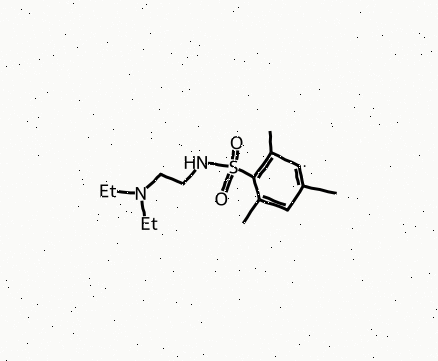 CCN(CC)CCNS(=O)(=O)c1c(C)[c]c(C)cc1C